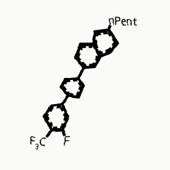 CCCCCc1ccc2cc(-c3ccc(-c4ccc(C(F)(F)F)c(F)c4)cc3)ccc2c1